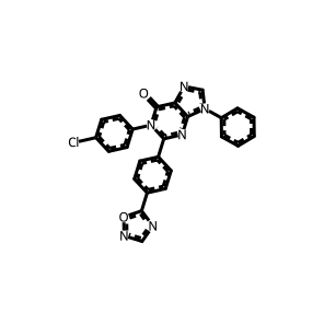 O=c1c2ncn(-c3ccccc3)c2nc(-c2ccc(-c3ncno3)cc2)n1-c1ccc(Cl)cc1